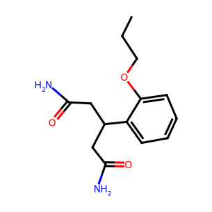 CCCOc1ccccc1C(CC(N)=O)CC(N)=O